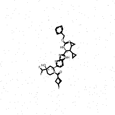 O=C(N[C@H](c1nc2nc([C@@H]3C[C@@](O)(C(F)F)CCN3C(=O)C34CC(F)(C3)C4)ccc2[nH]1)C(C1CC1)C1CC1)OCc1ccccc1